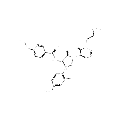 COCCn1cccc(N2C[C@@H](c3ccc(OC)cc3F)C(NC(=O)c3ccc(OC(F)(F)F)cc3)C2=O)c1=O